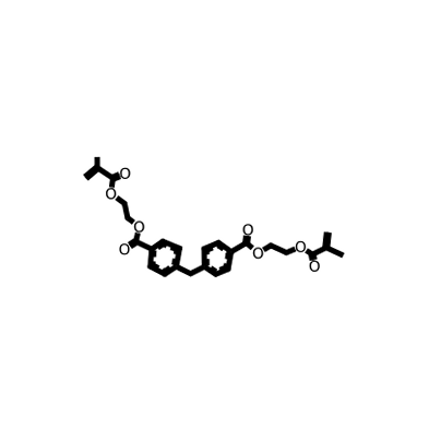 C=C(C)C(=O)OCCOC(=O)c1ccc(Cc2ccc(C(=O)OCCOC(=O)C(=C)C)cc2)cc1